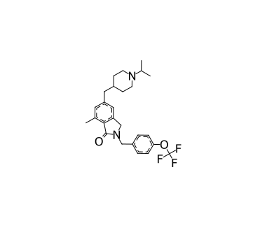 Cc1cc(CC2CCN(C(C)C)CC2)cc2c1C(=O)N(Cc1ccc(OC(F)(F)F)cc1)C2